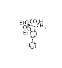 CCOP(=O)(OCC)C(C(=O)O)C(C)c1ccc(-c2ccccc2)cc1